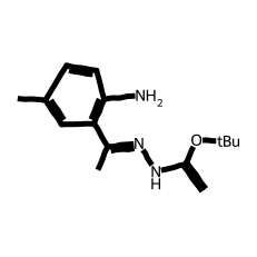 C=C(N/N=C(\C)c1cc(C)ccc1N)OC(C)(C)C